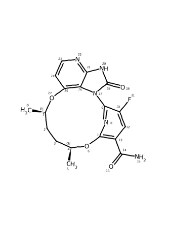 C[C@@H]1CC[C@H](C)Oc2nc(c(F)cc2C(N)=O)-n2c(=O)[nH]c3nccc(c32)O1